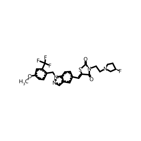 COc1ccc(Cn2ncc3cc(/C=C4\SC(=O)N(CCN5CC[C@@H](F)C5)C4=O)ccc32)c(C(F)(F)F)c1